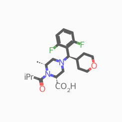 CC(C)C(=O)N1[C@H](C)CN([C@@H](c2c(F)cccc2F)C2CCOCC2)C[C@@H]1C(=O)O